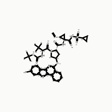 C=C[C@@H]1C[C@]1(NC(=O)[C@@H]1CC(Oc2nc3c4ccc(F)cc4sc3c3ccccc23)CN1C(=O)[C@@H](NC(=O)OC(C)(C)C)C(C)(C)C)C(=O)NS(=O)(=O)C1CC1